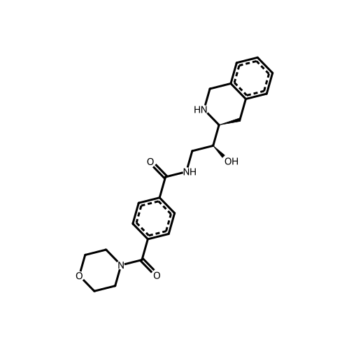 O=C(NC[C@H](O)[C@@H]1Cc2ccccc2CN1)c1ccc(C(=O)N2CCOCC2)cc1